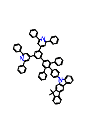 CC1(C)c2ccccc2-c2cc3c4ccccc4n(-c4ccc(-c5c(-c6ccccc6)cc(-c6cc(-c7cc(-c8ccccc8)nc(-c8ccccc8)c7)cc(-c7cc(-c8ccccc8)nc(-c8ccccc8)c7)c6)cc5-c5ccccc5)cc4)c3cc21